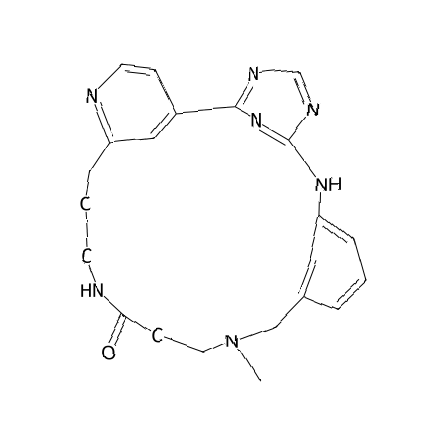 CN1CCC(=O)NCCCc2cc(ccn2)-c2ncnc(n2)Nc2cccc(c2)C1